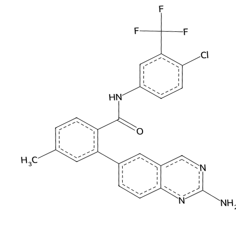 Cc1ccc(C(=O)Nc2ccc(Cl)c(C(F)(F)F)c2)c(-c2ccc3nc(N)ncc3c2)c1